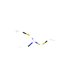 CSSN(SSC)C(=O)O